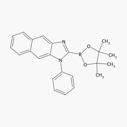 CC1(C)OB(c2nc3cc4ccccc4cc3n2-c2ccccc2)OC1(C)C